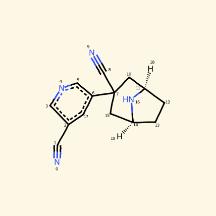 N#Cc1cncc(C2(C#N)C[C@H]3CC[C@@H](C2)N3)c1